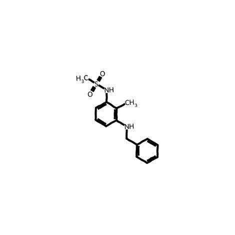 Cc1c(NCc2ccccc2)cccc1NS(C)(=O)=O